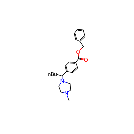 CCCCC(c1ccc(C(=O)OCc2ccccc2)cc1)N1CCN(C)CC1